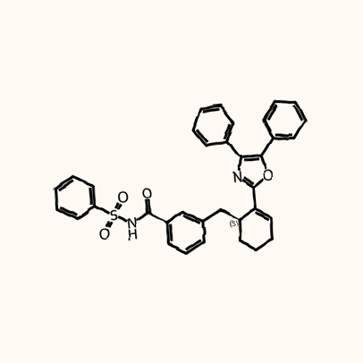 O=C(NS(=O)(=O)c1ccccc1)c1cccc(C[C@@H]2CCCC=C2c2nc(-c3ccccc3)c(-c3ccccc3)o2)c1